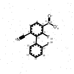 N#Cc1ccc([N+](=O)[O-])c(F)c1-c1ccccc1F